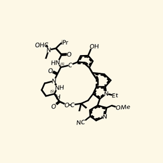 CCn1c(-c2cc(C#N)cnc2COC)c2c3cc(ccc31)-c1cc(O)cc(c1)C[C@H](NC(=O)C(C(C)C)N(C)C=O)C(=O)N1CCC[C@H](N1)C(=O)OCC(C)(C)C2